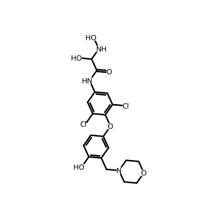 O=C(Nc1cc(Cl)c(Oc2ccc(O)c(CN3CCOCC3)c2)c(Cl)c1)C(O)NO